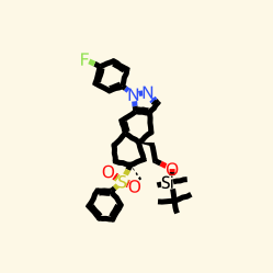 CC(C)(C)[Si](C)(C)OCC[C@]12Cc3cnn(-c4ccc(F)cc4)c3C=C1CC[C@](C)(S(=O)(=O)c1ccccc1)C2